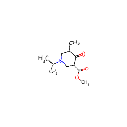 COC(=O)C1CN(C(C)C)CC(C)C1=O